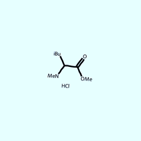 CCC(C)C(NC)C(=O)OC.Cl